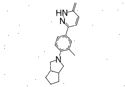 C=C1C=CC(c2ccc(N3CC4CCCC4C3)c(C)c2)=NN1